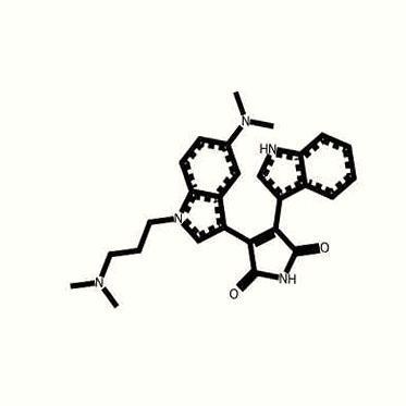 CN(C)CCCn1cc(C2=C(c3c[nH]c4ccccc34)C(=O)NC2=O)c2cc(N(C)C)ccc21